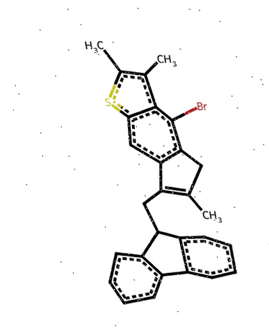 CC1=C(CC2c3ccccc3-c3ccccc32)c2cc3sc(C)c(C)c3c(Br)c2C1